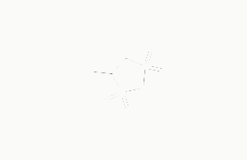 O=S1(=O)CC(P)S(=O)(=O)O1